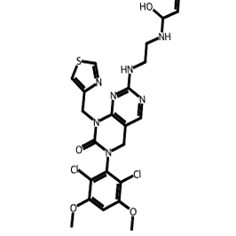 C=CC(O)NCCNc1ncc2c(n1)N(Cc1cscn1)C(=O)N(c1c(Cl)c(OC)cc(OC)c1Cl)C2